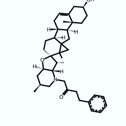 C[C@H]1C[C@H]2O[C@]3(CC[C@H]4[C@@H]5CC=C6C[C@@H](O)CC[C@]6(C)[C@H]5CC45CC53C)[C@H](C)[C@@H]2N(CC(=O)CCc2ccccc2)C1